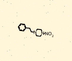 O=[N+]([O-])N1CCN(CCc2ccccc2)CC1